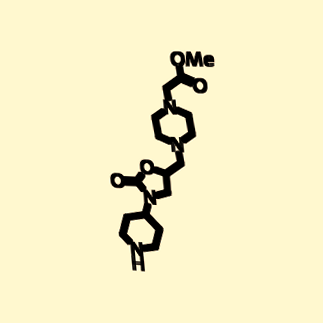 COC(=O)CN1CCN(CC2CN(C3CCNCC3)C(=O)O2)CC1